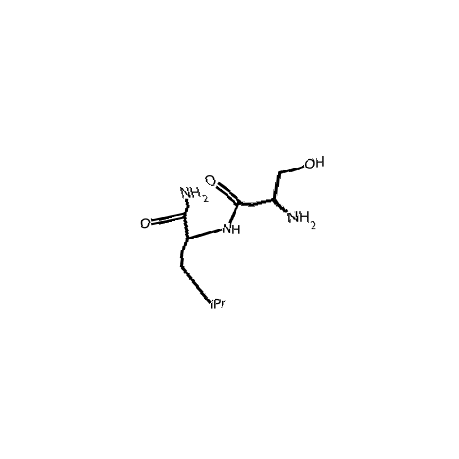 CC(C)CC(NC(=O)C(N)CO)C(N)=O